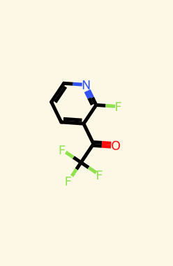 O=C(c1cccnc1F)C(F)(F)F